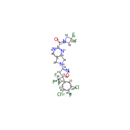 O=C(c1ncc2c(n1)CN(C1=NOC(c3cc(Cl)c(F)c(Cl)c3)(C(F)(F)F)C1)C2)N1CC(F)(F)C1